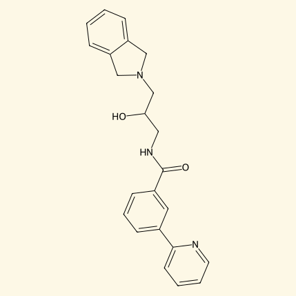 O=C(NCC(O)CN1Cc2ccccc2C1)c1cccc(-c2ccccn2)c1